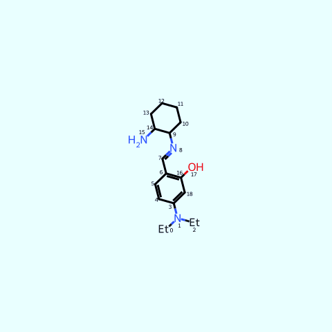 CCN(CC)c1ccc(/C=N/C2CCCCC2N)c(O)c1